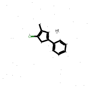 CC1=C(Cl)CC(c2ccccc2)=C1.[Hf]